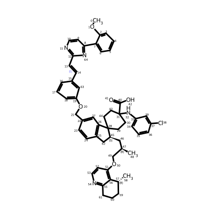 COc1ccccc1-c1ccnc(/C=C/c2cccc(OCc3ccc4c(c3)C3(CCC(Nc5cccc(Cl)c5)(C(=O)O)CC3)[C@@H](C[C@@H](C)COc3ccnc5c3[C@H](C)CCC5)C4)c2)n1